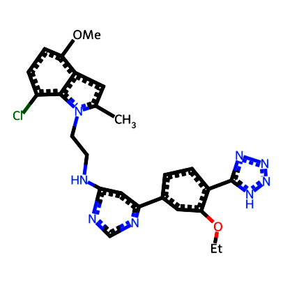 CCOc1cc(-c2cc(NCCn3c(C)cc4c(OC)ccc(Cl)c43)ncn2)ccc1-c1nnn[nH]1